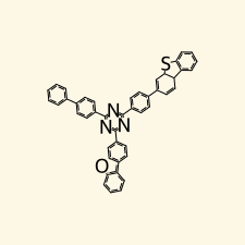 C1=CC2c3ccccc3SC2C=C1c1ccc(-c2nc(-c3ccc(-c4ccccc4)cc3)nc(-c3ccc4c(c3)oc3ccccc34)n2)cc1